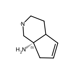 N[C@@]12CC=CC1CC[N]C2